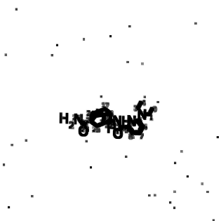 CCN(CC)c1cccc(C(=O)N[C@H]2C3CC4CC2C[C@](C(N)=O)(C4)C3)n1